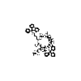 CC(C)(C)OC(=O)CCC1NC(=O)CC(C=CCCSC(c2ccccc2)(c2ccccc2)c2ccccc2)OC(=O)CNC(=O)C(C(C)(C)C)NC(=O)C(CSC(c2ccccc2)(c2ccccc2)c2ccccc2)NC1=O